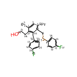 CC(C)c1cc(C(C)C)c(CSc2ccc(F)cc2)c(-c2ccc(F)cc2)c1CCO